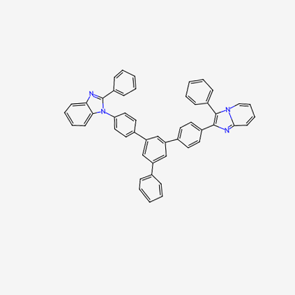 c1ccc(-c2cc(-c3ccc(-c4nc5ccccn5c4-c4ccccc4)cc3)cc(-c3ccc(-n4c(-c5ccccc5)nc5ccccc54)cc3)c2)cc1